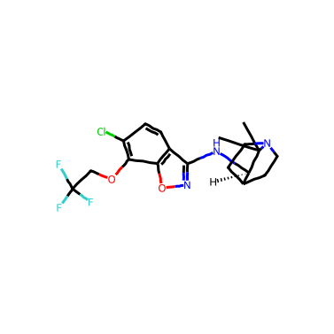 CC1(C)[C@H](Nc2noc3c(OCC(F)(F)F)c(Cl)ccc23)C2CCN1CC2